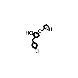 Cl.Clc1ccc(Cc2ccc(OCC3CCCN3)cc2)cc1